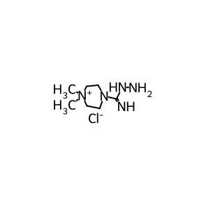 C[N+]1(C)CCN(C(=N)NN)CC1.[Cl-]